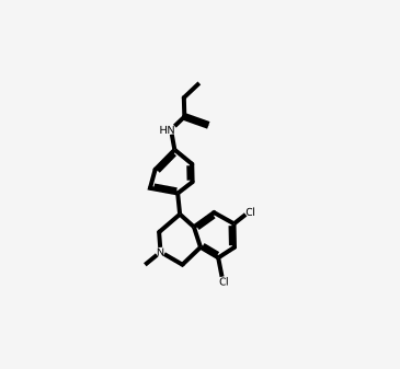 C=C(CC)Nc1ccc(C2CN(C)Cc3c(Cl)cc(Cl)cc32)cc1